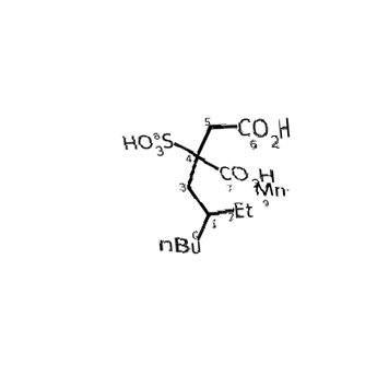 CCCCC(CC)CC(CC(=O)O)(C(=O)O)S(=O)(=O)O.[Mn]